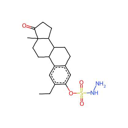 CCc1cc2c(cc1OS(=O)(=O)NN)CCC1C2CCC2(C)C(=O)CCC12